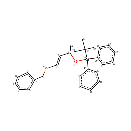 C[C@H](C=CSCc1ccccc1)O[Si](c1ccccc1)(c1ccccc1)C(C)(C)C